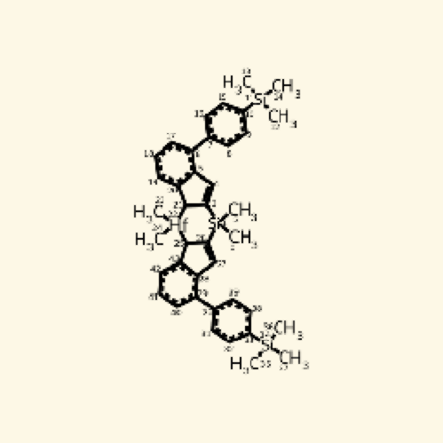 C[Si]1(C)C2=Cc3c(-c4ccc([Si](C)(C)C)cc4)cccc3[CH]2[Hf]([CH3])([CH3])[CH]2C1=Cc1c(-c3ccc([Si](C)(C)C)cc3)cccc12